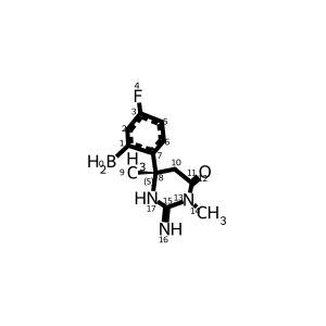 Bc1cc(F)ccc1[C@]1(C)CC(=O)N(C)C(=N)N1